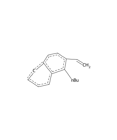 C=Cc1ccc2ccccc2c1CCCC